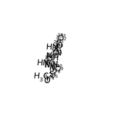 CC(=O)c1ccc(-c2cccc3[nH]c(-c4n[nH]c5cnc(-c6cncc(NC(=O)CC7CCCCC7)c6)cc45)nc23)s1